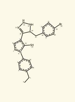 CCc1ccc(-n2ncc(C3=NNNN3Cc3ccc(Br)cc3)c2S)cc1